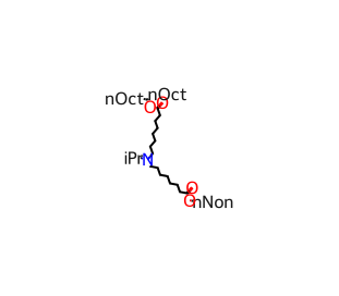 CCCCCCCCCOC(=O)CCCCCCCN(CCCCCCCC(=O)OC(CCCCCCCC)CCCCCCCC)C(C)C